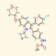 CC(C)OC(=O)Nc1ccc(-c2c(-c3ccc(F)cc3)c3ccc(OC4CCOCC4)cc3n2C2CCC2)cc1